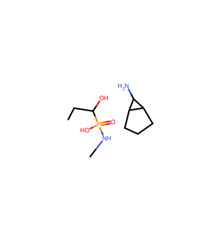 CCC(O)P(=O)(O)NC.NC1C2CCCC12